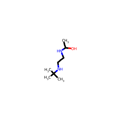 CC(O)NCCNC(C)(C)C